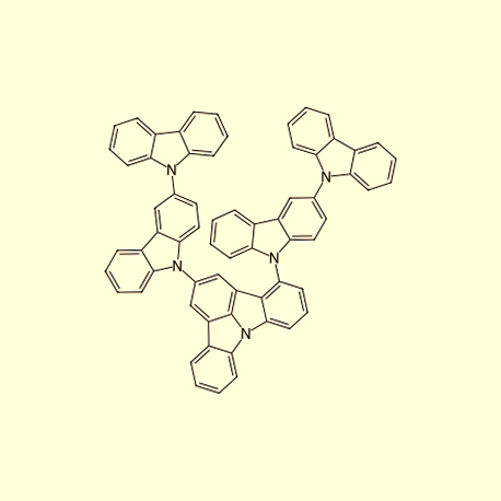 c1ccc2c(c1)c1ccccc1n2-c1ccc2c(c1)c1ccccc1n2-c1cc2c3ccccc3n3c4cccc(-n5c6ccccc6c6cc(-n7c8ccccc8c8ccccc87)ccc65)c4c(c1)c23